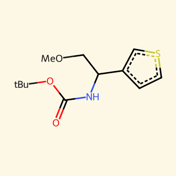 COCC(NC(=O)OC(C)(C)C)c1ccsc1